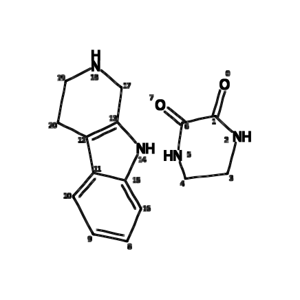 O=C1NCCNC1=O.c1ccc2c3c([nH]c2c1)CNCC3